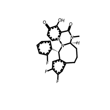 CN1C(=O)c2c(O)c(=O)ccn2N2[C@@H](c3ccccc3F)c3cc(F)c(F)cc3CCC[C@H]12